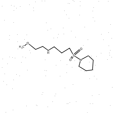 COCCNCCCS(=O)(=O)N1CC[CH]CC1